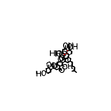 CC(C)=CCCC1=CC(c2c(O)cc3c(c2O)C(=O)CC(c2ccc(O)cc2O)O3)C(C(=O)c2ccc(O)cc2O)C(c2ccc(O)cc2O)C1